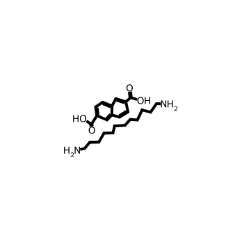 NCCCCCCCCCCCCN.O=C(O)c1ccc2cc(C(=O)O)ccc2c1